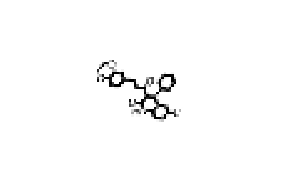 O=C(C=Cc1ccc2c(c1)OCCO2)c1c(-c2ccccc2)c2cc(Cl)ccc2[nH]c1=O